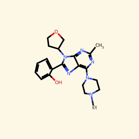 CCN1CCN(c2nc(C)nc3c2nc(-c2ccccc2O)n3C2CCOC2)CC1